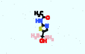 BC(B)(O)c1cnc(NC(C)=O)s1